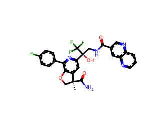 C[C@]1(C(N)=O)COc2c1cc([C@@](O)(CNC(=O)c1cnc3cccnc3c1)C(F)(F)F)nc2-c1ccc(F)cc1